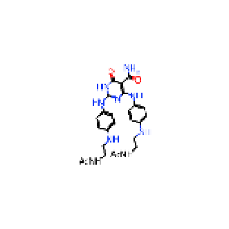 CC(=O)NCCNc1ccc(Nc2nc(Nc3ccc(NCCNC(C)=O)cc3)c(C(N)=O)c(=O)[nH]2)cc1